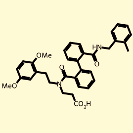 COc1ccc(OC)c(CCN(CCC(=O)O)C(=O)c2ccccc2-c2ccccc2C(=O)NCc2ccccc2C)c1